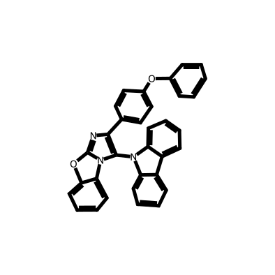 c1ccc(Oc2ccc(-c3nc4oc5ccccc5n4c3-n3c4ccccc4c4ccccc43)cc2)cc1